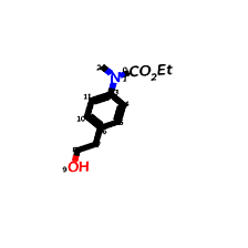 CCOC(=O)N(C)c1ccc(CCO)cc1